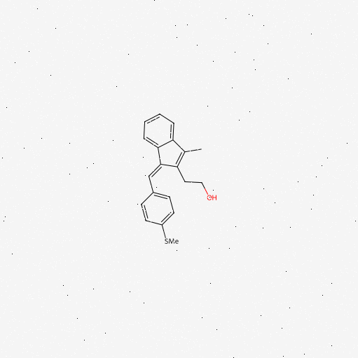 CSc1ccc(C=C2C(CCO)=C(C)c3ccccc32)cc1